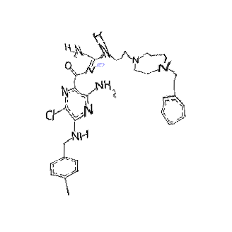 N/C(=N\C(=O)c1nc(Cl)c(NCc2ccc(I)cc2)nc1N)NCCN1CCN(Cc2ccccc2)CC1